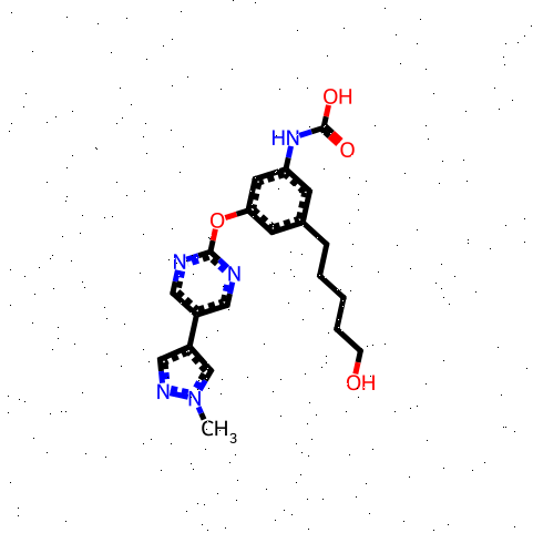 Cn1cc(-c2cnc(Oc3cc(CCCCCO)cc(NC(=O)O)c3)nc2)cn1